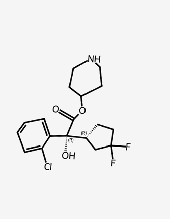 O=C(OC1CCNCC1)[C@](O)(c1ccccc1Cl)[C@@H]1CCC(F)(F)C1